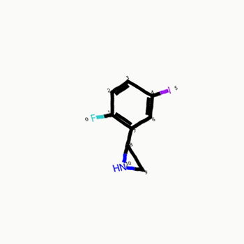 Fc1ccc(I)cc1C1CN1